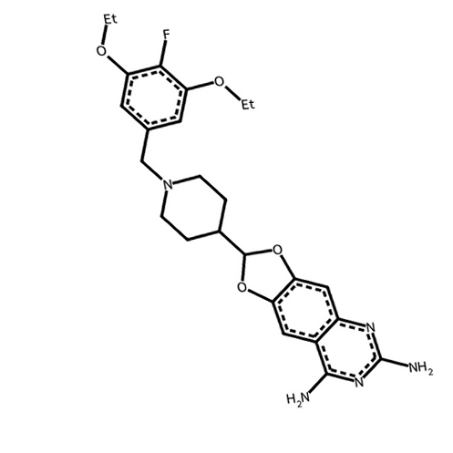 CCOc1cc(CN2CCC(C3Oc4cc5nc(N)nc(N)c5cc4O3)CC2)cc(OCC)c1F